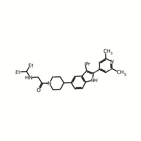 CCC(CC)NCC(=O)N1CCC(c2ccc3[nH]c(-c4cc(C)nc(C)c4)c(C(C)C)c3c2)CC1